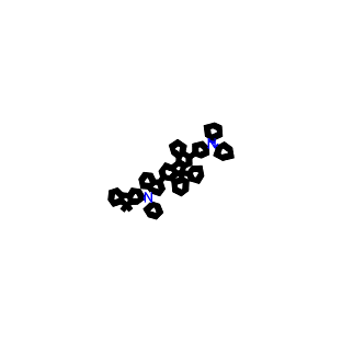 CC1(C)c2ccccc2-c2ccc(N(c3ccccc3)c3ccc(-c4ccc5c(c4)C(c4ccccc4)(c4ccccc4)c4cc(-c6ccc(N(c7ccccc7)c7ccccc7)cc6)c6ccccc6c4-5)c4ccccc34)cc21